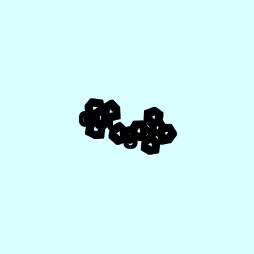 c1ccc(N(c2ccc3oc4cc(C5(c6ccccc6)c6ccccc6-c6ccccc65)ccc4c3c2)c2cccc3oc4ccccc4c23)cc1